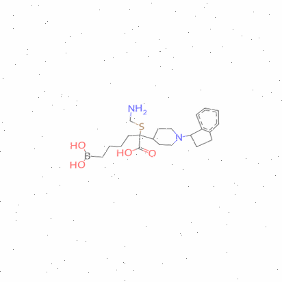 NCSC(CCCCB(O)O)(C(=O)O)C1CCN(C2CCc3ccccc32)CC1